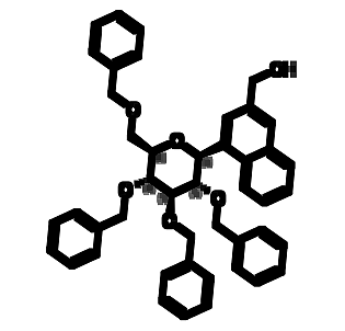 OCc1cc([C@@H]2O[C@H](COCc3ccccc3)[C@@H](OCc3ccccc3)[C@H](OCc3ccccc3)[C@H]2OCc2ccccc2)c2ccccc2c1